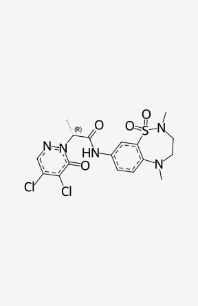 C[C@H](C(=O)Nc1ccc2c(c1)S(=O)(=O)N(C)CCN2C)n1ncc(Cl)c(Cl)c1=O